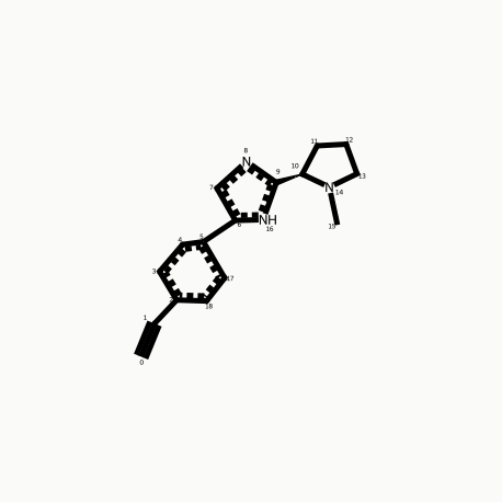 C#Cc1ccc(-c2cnc([C@H]3CCCN3C)[nH]2)cc1